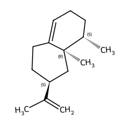 C=C(C)[C@H]1CCC2=CCC[C@H](C)[C@@]2(C)C1